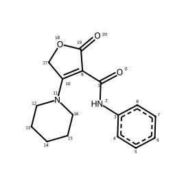 O=C(Nc1ccccc1)C1=C(N2CCCCC2)COC1=O